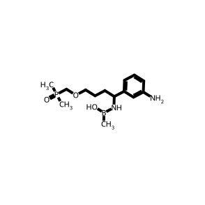 CB(O)NC(CCCOCP(C)(C)=O)c1cccc(N)c1